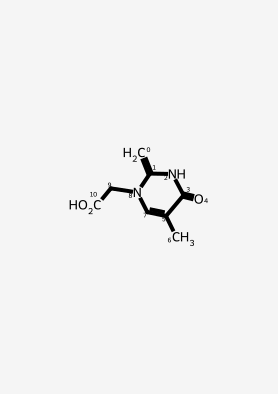 C=C1NC(=O)C(C)=CN1CC(=O)O